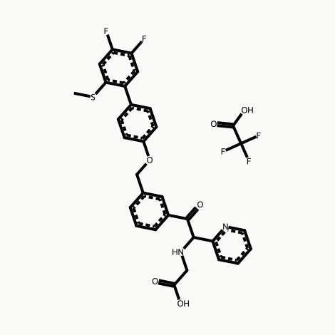 CSc1cc(F)c(F)cc1-c1ccc(OCc2cccc(C(=O)C(NCC(=O)O)c3ccccn3)c2)cc1.O=C(O)C(F)(F)F